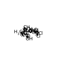 Cc1sc2c(c1C)C(c1ccc(NS(=O)(=O)c3cc(Cl)c(Cl)s3)cc1)=N[C@@H](CC(=O)O)c1nnc(C)n1-2